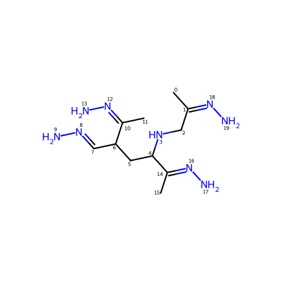 C/C(CNC(CC(/C=N/N)/C(C)=N\N)/C(C)=N/N)=N/N